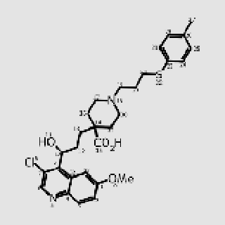 COc1ccc2ncc(Cl)c([C@@H](O)CCC3(C(=O)O)CCN(CCCSc4ccc(C)cc4)CC3)c2c1